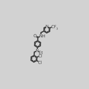 CCN(Cc1cccc(Cl)c1Cl)c1ccc(C(=O)NCc2ccc(C(F)(F)F)nc2)cc1